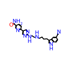 N#Cc1ccc2[nH]cc(CCCCNCCNc3ncc(-c4ccc(C(N)=O)cn4)cn3)c2c1